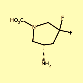 N[C@@H]1CN(C(=O)O)CC(F)(F)C1